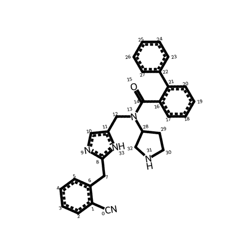 N#Cc1ccccc1Cc1ncc(CN(C(=O)c2ccccc2-c2ccccc2)C2CCNC2)[nH]1